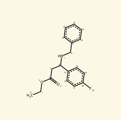 CCOC(=O)CC(NCc1ccccc1)c1ccc(F)cc1